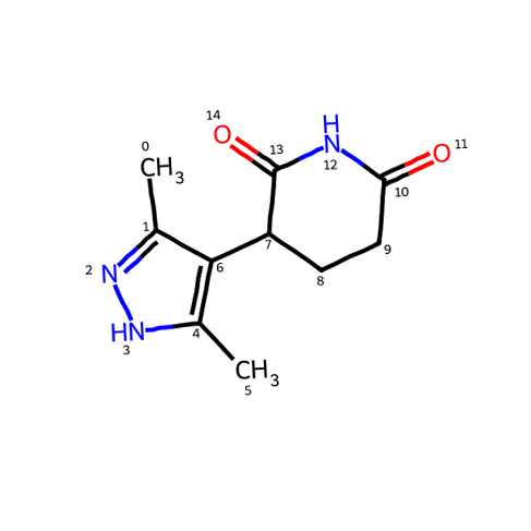 Cc1n[nH]c(C)c1C1CCC(=O)NC1=O